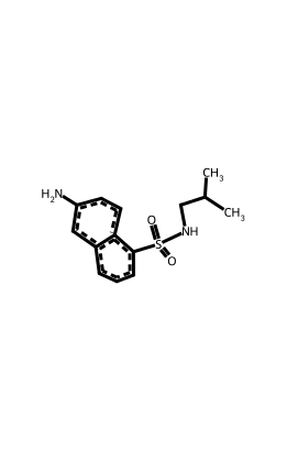 CC(C)CNS(=O)(=O)c1cccc2cc(N)ccc12